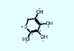 OC1=C(O)C(O)=C(O)OC1